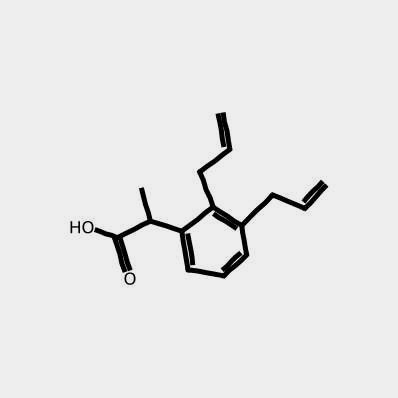 C=CCc1cccc(C(C)C(=O)O)c1CC=C